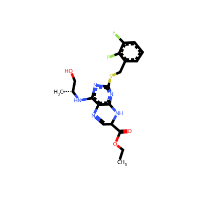 CCOC(=O)C1C=Nc2c(nc(SCc3cccc(F)c3F)nc2N[C@H](C)CO)N1